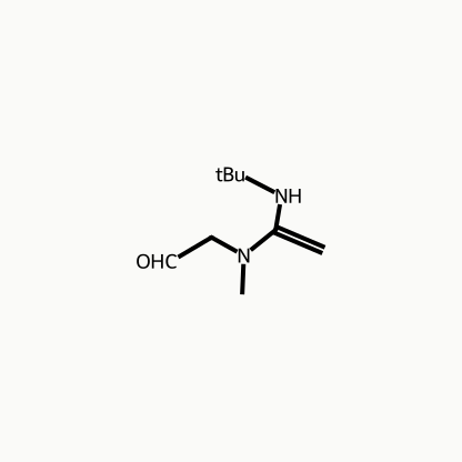 C=C(NC(C)(C)C)N(C)CC=O